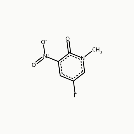 Cn1cc(F)cc([N+](=O)[O-])c1=O